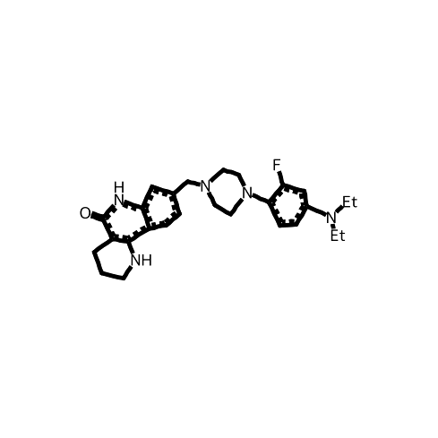 CCN(CC)c1ccc(N2CCN(Cc3ccc4c5c(c(=O)[nH]c4c3)CCCN5)CC2)c(F)c1